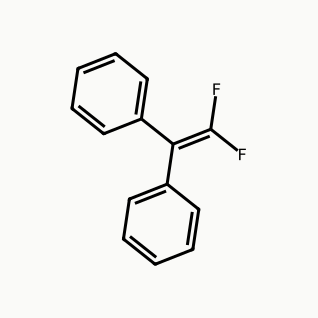 FC(F)=C(c1ccccc1)c1ccccc1